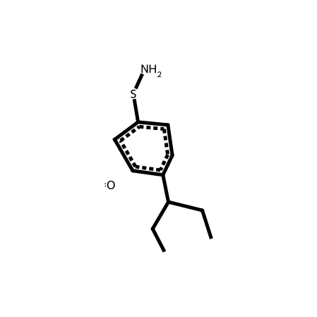 CCC(CC)c1ccc(SN)cc1.[O]